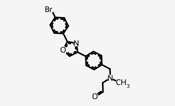 CN(CC=O)Cc1ccc(-c2coc(-c3ccc(Br)cc3)n2)cc1